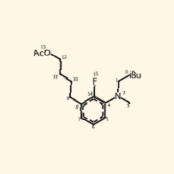 CCC(C)CN(C)c1cccc(CCCCOC(C)=O)c1F